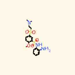 COc1ccc(S(=O)(=O)CCN(C)C)cc1S(=O)(=O)Nc1ccccc1N